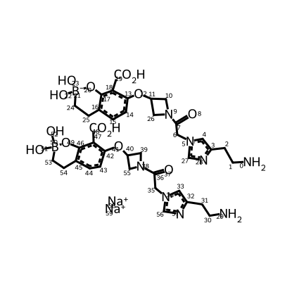 NCCc1cn(CC(=O)N2CC(Oc3ccc4c(c3C(=O)O)O[B-](O)(O)CC4)C2)cn1.NCCc1cn(CC(=O)N2CC(Oc3ccc4c(c3C(=O)O)O[B-](O)(O)CC4)C2)cn1.[Na+].[Na+]